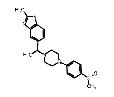 Cc1nc2cc(C(C)N3CCN(c4ccc([S+](C)[O-])cc4)CC3)ccc2s1